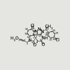 CC#CCN1C(=O)[C@]2(CC(=O)Nc3c2nnn3[C@@H](C)c2ccc(Cl)cc2)c2cc(Cl)ccc21